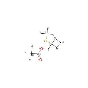 CC(C)(C)SC1(COC(=O)C(C)(C)C)CCC1